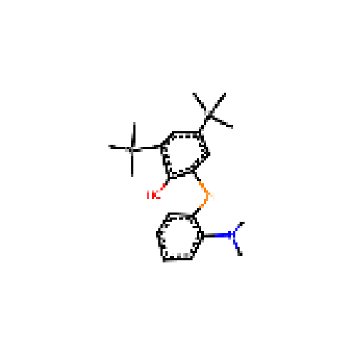 CN(C)c1ccccc1Pc1cc([Si](C)(C)C)cc([Si](C)(C)C)c1O